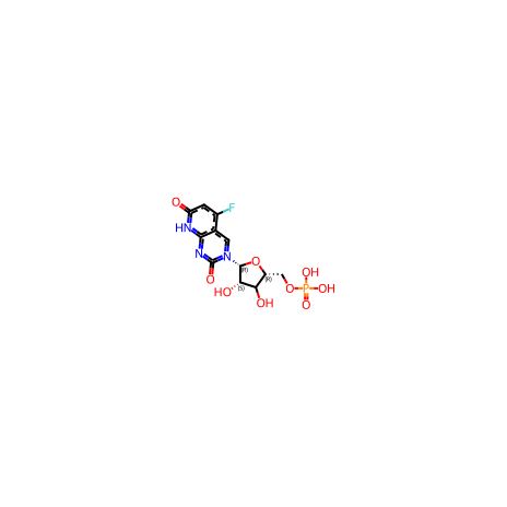 O=c1cc(F)c2cn([C@@H]3O[C@H](COP(=O)(O)O)C(O)[C@@H]3O)c(=O)nc2[nH]1